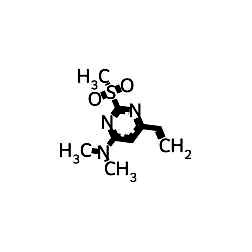 C=Cc1cc(N(C)C)nc(S(C)(=O)=O)n1